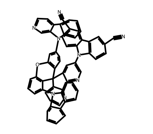 N#Cc1ccc2c(c1)c1cc(C#N)ccc1n2-c1cnc2c(c1)C1(c3ccc(-n4c5ccccc5c5ccncc54)cc3Oc3cccc(-n4c5ccccc5c5ccccc54)c31)c1cccnc1-2